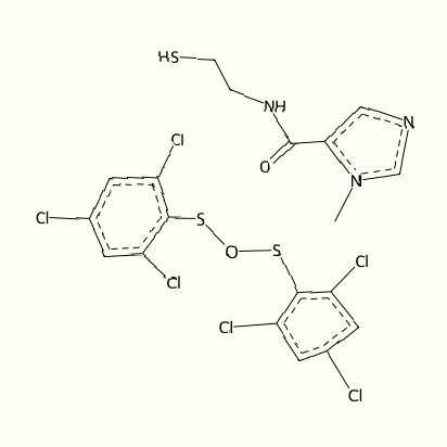 Clc1cc(Cl)c(SOSc2c(Cl)cc(Cl)cc2Cl)c(Cl)c1.Cn1cncc1C(=O)NCCS